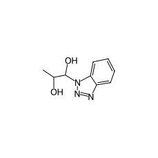 CC(O)C(O)n1nnc2ccccc21